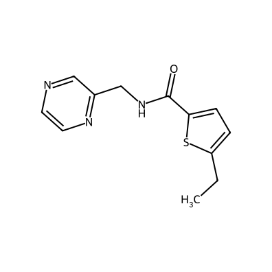 CCc1ccc(C(=O)NCc2cnccn2)s1